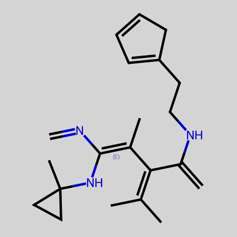 C=N/C(NC1(C)CC1)=C(\C)C(C(=C)NCCC1=CC=CC1)=C(C)C